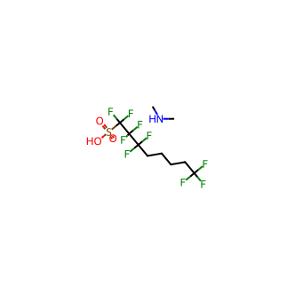 CNC.O=S(=O)(O)C(F)(F)C(F)(F)C(F)(F)CCCCC(F)(F)F